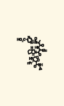 CCC[C@H](NC(=O)[C@@H]1C2CCC[C@H]2CN1C(=O)[C@@H](NC(=O)[C@H](C)NC(=O)c1cnc(C(=O)O)cn1)C(C)(C)C)C(=O)C(=O)NC1CC1